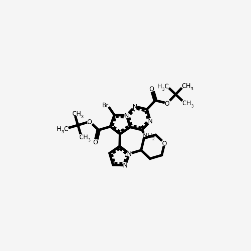 CC(C)(C)OC(=O)c1nc(N)c2c(-c3ccnn3C3CCOCC3)c(C(=O)OC(C)(C)C)c(Br)n2n1